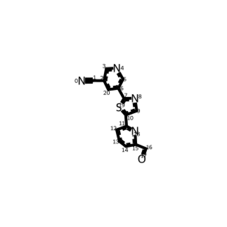 N#Cc1cncc(-c2ncc(-c3cccc(C=O)n3)s2)c1